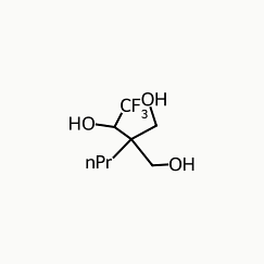 CCCC(CO)(CO)C(O)C(F)(F)F